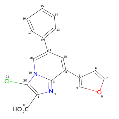 O=C(O)c1nc2c(-c3ccoc3)cc(-c3ccccc3)cn2c1Cl